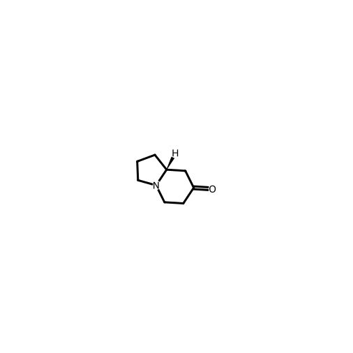 O=C1CCN2CCC[C@@H]2C1